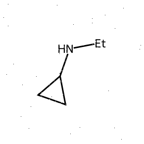 CCN[C]1CC1